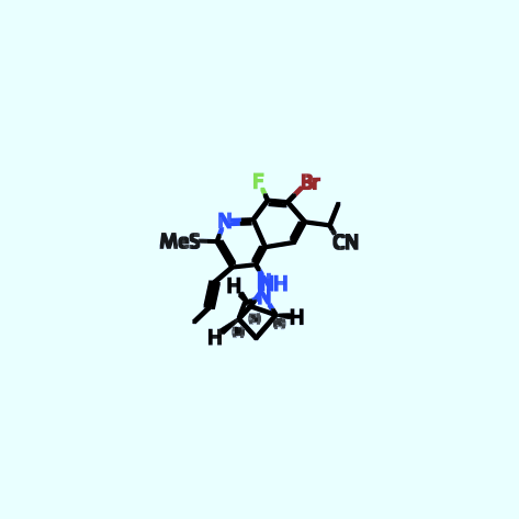 CC#Cc1c(SC)nc2c(F)c(Br)c(C(C)C#N)cc2c1N[C@H]1[C@H]2CN[C@@H]1C2